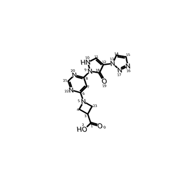 O=C(O)C1CN(c2cc(-n3[nH]cc(-n4ccnn4)c3=O)ncn2)C1